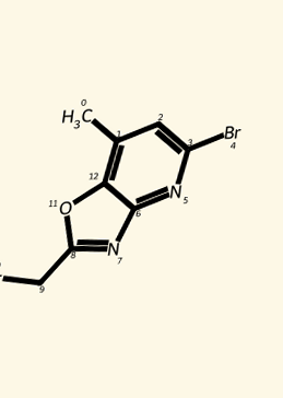 Cc1cc(Br)nc2nc(CBr)oc12